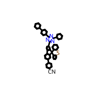 N#Cc1ccc(-c2ccc3c(c2)C2(c4ccccc4Sc4ccccc42)c2cc(-c4nc(-c5ccccc5)nc(-c5ccc(-c6ccccc6)cc5)n4)ccc2-3)cc1